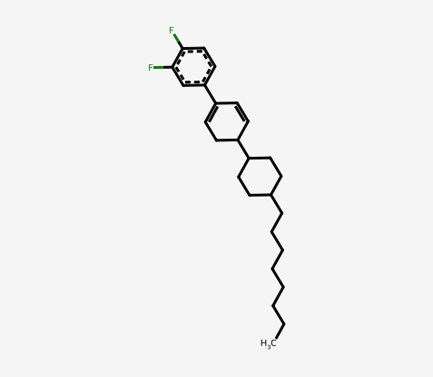 CCCCCCCCC1CCC(C2C=CC(c3ccc(F)c(F)c3)=CC2)CC1